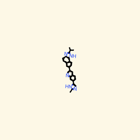 Cc1ncc(-c2ccc3cc(-c4ccc5c(ccc6nc(C(C)C)[nH]c65)c4)cnc3c2)[nH]1